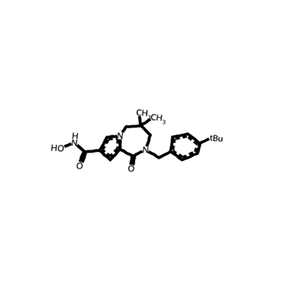 CC1(C)CN(Cc2ccc(C(C)(C)C)cc2)C(=O)c2cc(C(=O)NO)cn2C1